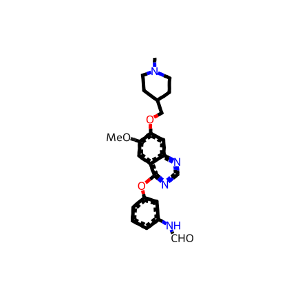 COc1cc2c(Oc3cccc(NC=O)c3)ncnc2cc1OCC1CCN(C)CC1